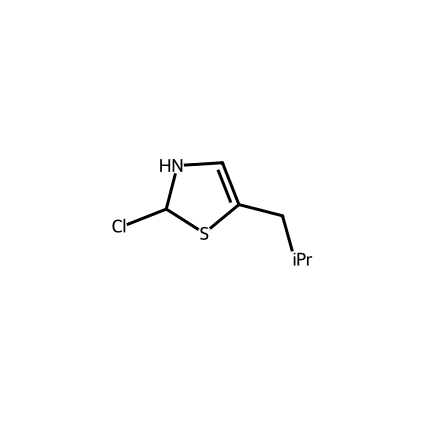 CC(C)CC1=CNC(Cl)S1